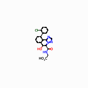 O=C(O)CNC(=O)c1c(O)c2cccc(-c3ccccc3Cl)c2c2ncnn12